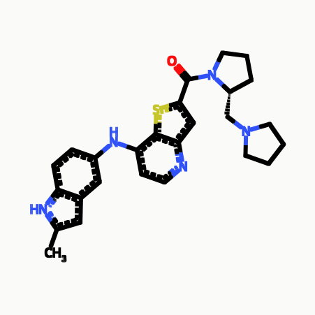 Cc1cc2cc(Nc3ccnc4cc(C(=O)N5CCC[C@@H]5CN5CCCC5)sc34)ccc2[nH]1